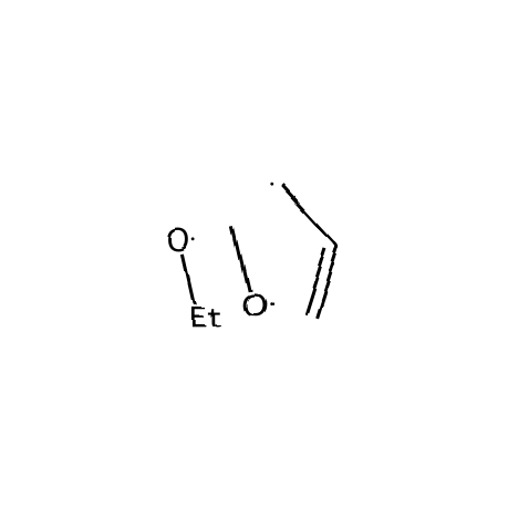 CC[O].C[O].[CH2]C=C